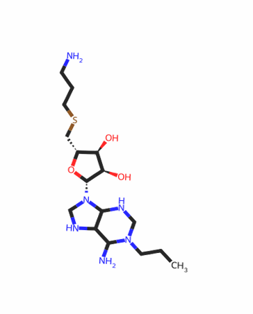 CCCN1CNC2C(NCN2[C@@H]2O[C@H](CSCCCN)[C@@H](O)[C@H]2O)C1N